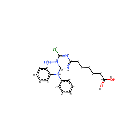 NN1C(Cl)=NC(CCCCCC(=O)O)=NC1N(c1ccccc1)c1ccccc1